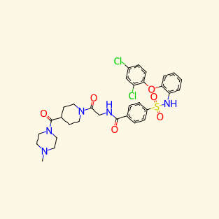 CN1CCN(C(=O)C2CCN(C(=O)CNC(=O)c3ccc(S(=O)(=O)Nc4ccccc4Oc4ccc(Cl)cc4Cl)cc3)CC2)CC1